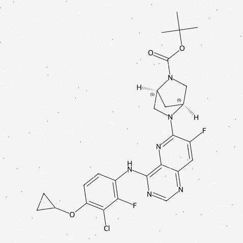 CC(C)(C)OC(=O)N1C[C@@H]2C[C@H]1CN2c1nc2c(Nc3ccc(OC4CC4)c(Cl)c3F)ncnc2cc1F